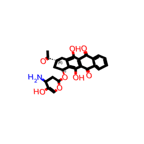 CC(=O)[C@@H]1Cc2c(O)c3c(c(O)c2[C@@H](OC2CC(N)C(O)=CO2)C1)C(=O)c1ccccc1C3=O